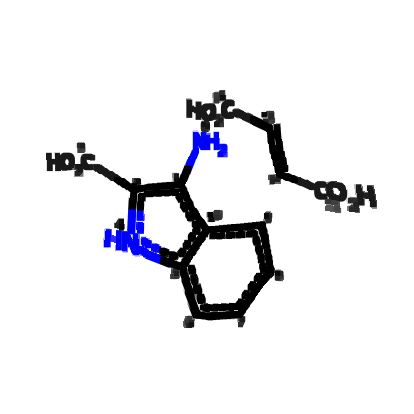 Nc1c(C(=O)O)[nH]c2ccccc12.O=C(O)C=CC(=O)O